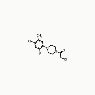 Cc1cc(N2CCN(C(=O)CCl)CC2)c(F)cc1Cl